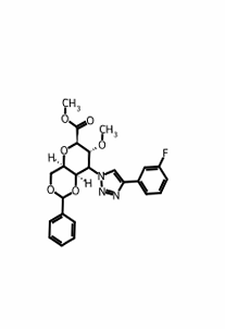 COC(=O)[C@@H]1O[C@@H]2COC(c3ccccc3)O[C@@H]2C(n2cc(-c3cccc(F)c3)nn2)[C@H]1OC